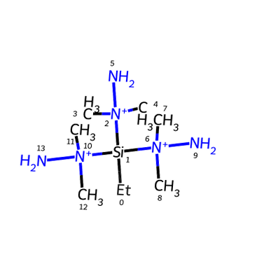 CC[Si]([N+](C)(C)N)([N+](C)(C)N)[N+](C)(C)N